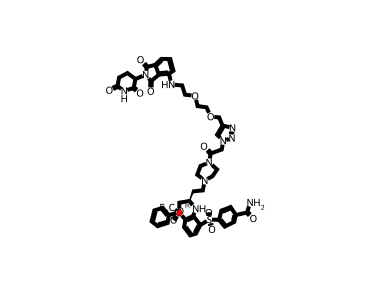 NC(=O)c1ccc(S(=O)(=O)c2cccc(S(=O)(=O)C(F)(F)F)c2N[C@H](CCN2CCN(C(=O)Cn3cc(COCCOCCNc4cccc5c4C(=O)N(C4CCC(=O)NC4=O)C5=O)nn3)CC2)CSc2ccccc2)cc1